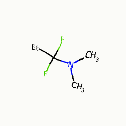 CCC(F)(F)N(C)C